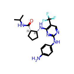 CC(C)NC(=O)[C@H]1CCC[C@H]1Nc1nc(Nc2ccc(N)cc2)ncc1C(F)(F)F